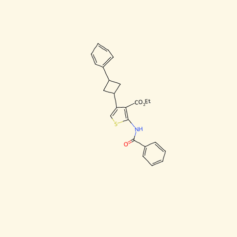 CCOC(=O)c1c(C2CC(c3ccccc3)C2)csc1NC(=O)c1ccccc1